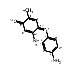 CC1=C/C(=N/c2ccc(N)cc2)C(N)=CC1=O